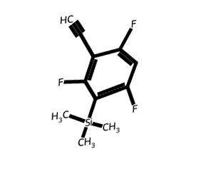 C#Cc1c(F)cc(F)c([Si](C)(C)C)c1F